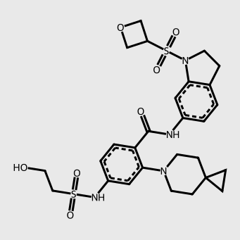 O=C(Nc1ccc2c(c1)N(S(=O)(=O)C1COC1)CC2)c1ccc(NS(=O)(=O)CCO)cc1N1CCC2(CC1)CC2